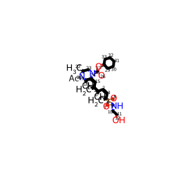 C=C(/C=C\C(=C)S(=O)(=O)NCCO)C(=C)/C=C1\C(=C)N(C(C)=O)C(C)CN1C(=O)OC1CCCCC1